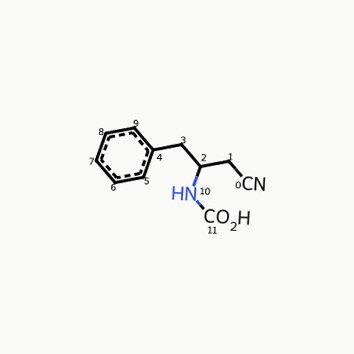 N#CCC(Cc1ccccc1)NC(=O)O